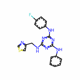 Fc1ccc(Nc2nc(NCc3cscn3)nc(Nc3ccccc3)n2)cc1